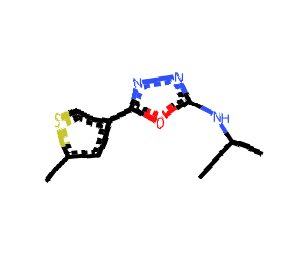 Cc1cc(-c2nnc(NC(C)C)o2)cs1